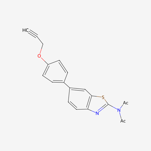 C#CCOc1ccc(-c2ccc3nc(N(C(C)=O)C(C)=O)sc3c2)cc1